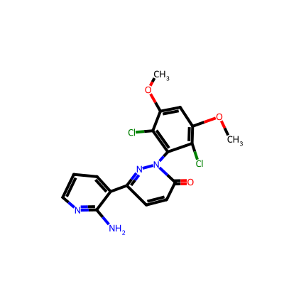 COc1cc(OC)c(Cl)c(-n2nc(-c3cccnc3N)ccc2=O)c1Cl